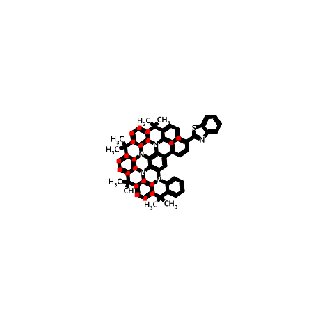 CC1(C)c2ccccc2N(c2cc(-c3ccc(-c4nc5ccccc5s4)cc3)c(N3c4ccccc4C(C)(C)c4ccccc43)c(N3c4ccccc4C(C)(C)c4ccccc43)c2N2c3ccccc3C(C)(C)c3ccccc32)c2ccccc21